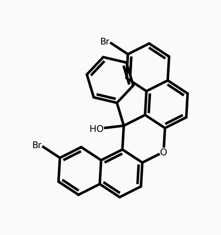 OC1(c2ccccc2)c2c(ccc3ccc(Br)cc23)Oc2ccc3ccc(Br)cc3c21